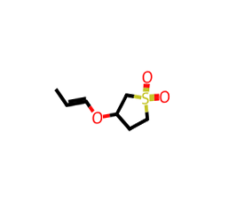 CC=COC1CCS(=O)(=O)C1